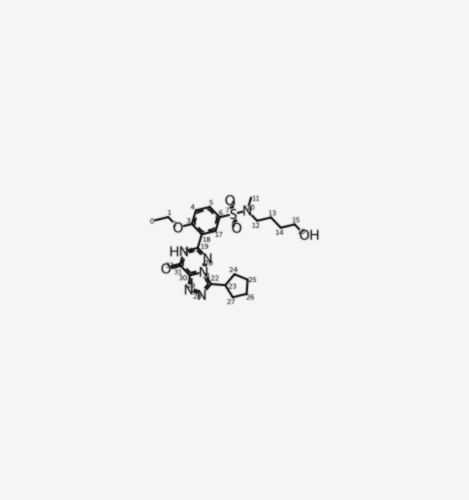 CCOc1ccc(S(=O)(=O)N(C)CCCCO)cc1-c1nn2c(C3CCCC3)nnc2c(=O)[nH]1